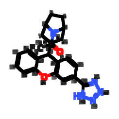 O=C(N1C2CCC1CC(C1c3ccccc3Oc3cc(-c4nnn[nH]4)ccc31)C2)C(F)(F)F